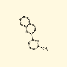 Cc1cccc(-c2ccc3ccncc3n2)n1